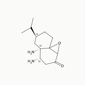 CC(C)[C@H]1CCC23OC2C(=O)C[C@H](N)[C@@]3(N)C1